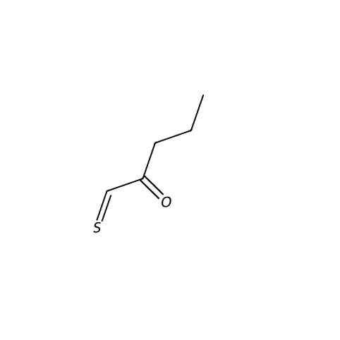 CCCC(=O)C=S